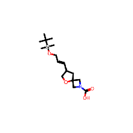 CC(C)(C)[Si](C)(C)OC/C=C/C1COC2(C1)CN(C(=O)O)C2